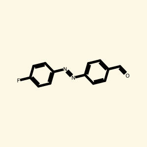 O=Cc1ccc(N=Nc2ccc(F)cc2)cc1